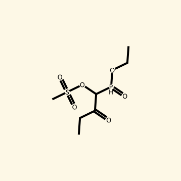 CCO[PH](=O)C(OS(C)(=O)=O)C(=O)CC